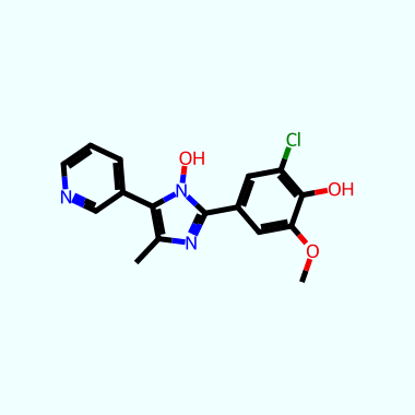 COc1cc(-c2nc(C)c(-c3cccnc3)n2O)cc(Cl)c1O